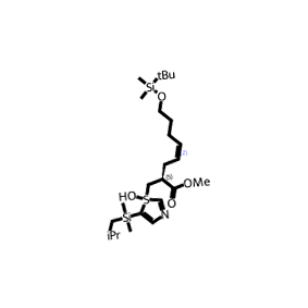 COC(=O)[C@H](C/C=C\CCCO[Si](C)(C)C(C)(C)C)CS1(O)C=NC=C1[Si](C)(C)CC(C)C